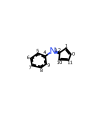 C1=CC(=Nc2ccccc2)C=C1